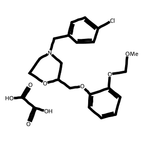 COCOc1ccccc1OCC1CN(Cc2ccc(Cl)cc2)CCO1.O=C(O)C(=O)O